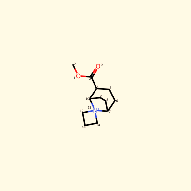 COC(=O)C1CCC2CCC1[N+]21CCC1